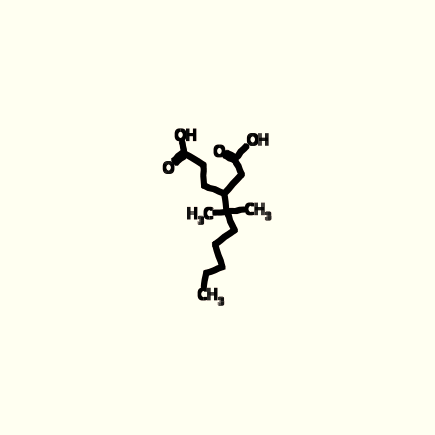 CCCCCC(C)(C)C(CCC(=O)O)CC(=O)O